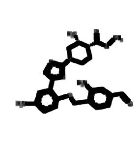 COC(=O)[C@@H]1CCN(c2nc(-c3cc(C)ccc3OCc3ccc(C=O)cc3N)cs2)C[C@@H]1C